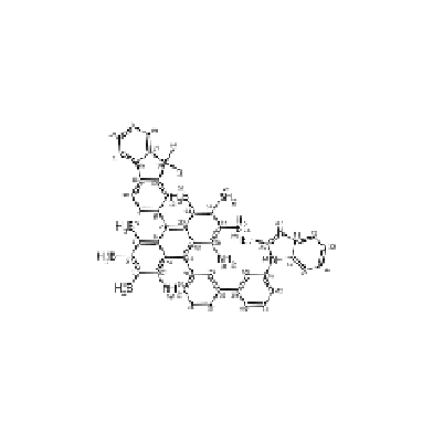 Bc1c(B)c(B)c2c(-c3ccc4c(c3)C(C)(C)c3ccccc3-4)c3c(B)c(B)c(B)c(B)c3c(-c3cccc(-c4cccc(-n5c(CC)nc6ccccc65)c4)c3)c2c1B